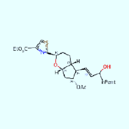 CCCCCC(O)/C=C/[C@@H]1[C@H]2CC[C@H](c3nc(C(=O)OCC)cs3)O[C@H]2C[C@H]1OC(C)=O